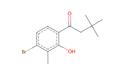 Cc1c(Br)ccc(C(=O)CC(C)(C)C)c1O